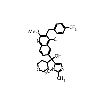 COc1nc2ccc(C(O)(c3cnc(C)n3C)C3CCOCC3)cc2c(Cl)c1Cc1ccc(C(F)(F)F)cc1